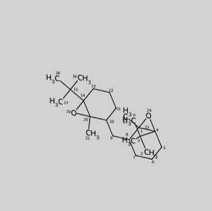 CC(C)(C)C12CCCC(CC3CCCC4(C(C)(C)C)OC34C)C1(C)O2